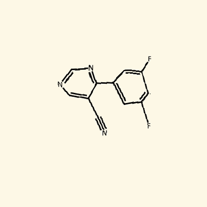 N#Cc1cncnc1-c1cc(F)[c]c(F)c1